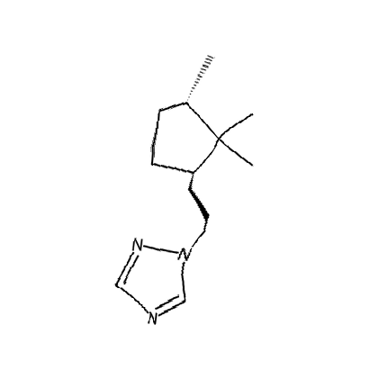 C[C@H]1CC[C@H](Cn2cncn2)C1(C)C